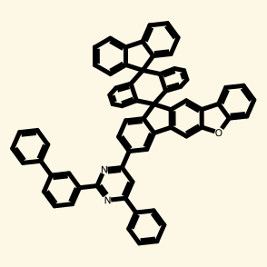 c1ccc(-c2cccc(-c3nc(-c4ccccc4)cc(-c4ccc5c(c4)-c4cc6oc7ccccc7c6cc4C54c5ccccc5C5(c6ccccc6-c6ccccc65)c5ccccc54)n3)c2)cc1